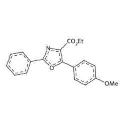 CCOC(=O)c1nc(-c2ccccc2)oc1-c1ccc(OC)cc1